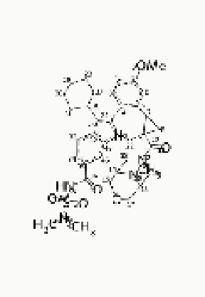 COc1ccc2c(c1)C1CC1(C(=O)N1CC3COCC(C1)N3C)Cn1c-2c(C2CCCCC2)c2ccc(C(=O)NS(=O)(=O)N(C)C)cc21